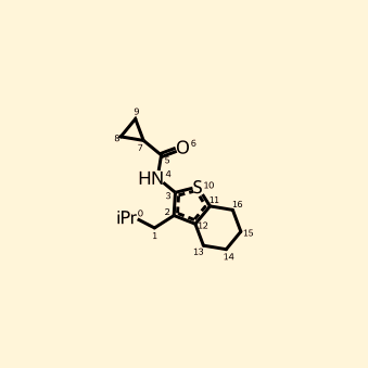 CC(C)Cc1c(NC(=O)C2CC2)sc2c1CCCC2